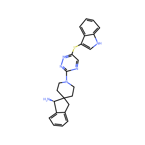 N[C@@H]1c2ccccc2CC12CCN(c1ncc(Sc3c[nH]c4ccccc34)nn1)CC2